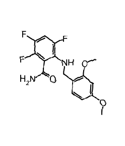 COc1ccc(CNc2c(F)cc(F)c(F)c2C(N)=O)c(OC)c1